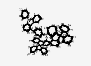 C1=CCC2C(=C1)N(c1ccccc1)c1cccc(-c3ccc(N(c4cccc5c4-c4ccccc4C54c5ccccc5-c5ccccc54)c4cccc5c4-c4ccccc4C54c5ccccc5-c5ccccc54)cc3)c12